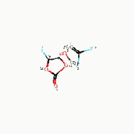 C=C(F)F.O=C(O)O.O=C1OCC(F)O1